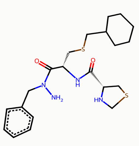 NN(Cc1ccccc1)C(=O)[C@H](CSCC1CCCCC1)NC(=O)[C@@H]1CSCN1